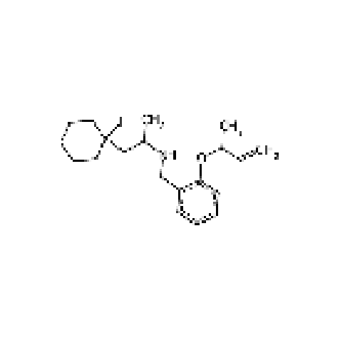 C=CC(C)Oc1ccccc1CNC(C)CC1(I)CCCCC1